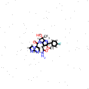 CCOc1c(CC(N)=O)cc([C@@](O)(CNC(=O)c2ccnc3nccn23)C(F)(F)F)nc1-c1ccc(F)cc1